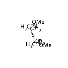 COC(=O)CC(C)(C)CCCSCCCC(C)(C)CC(=O)OC